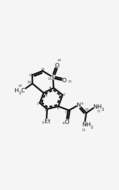 CCc1cc2c(cc1C(=O)N=C(N)N)S(=O)(=O)C=CC2C